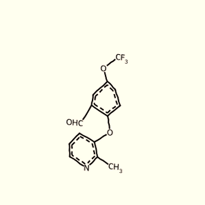 Cc1ncccc1Oc1ccc(OC(F)(F)F)cc1C=O